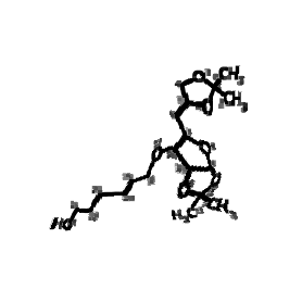 CC1(C)OCC(CC2OC3OC(C)(C)OC3C2OCCCCCCO)O1